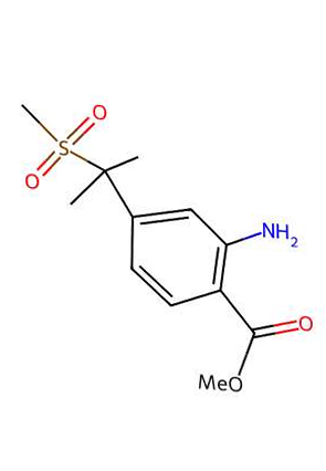 COC(=O)c1ccc(C(C)(C)S(C)(=O)=O)cc1N